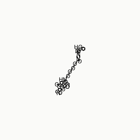 Cc1nnc(-c2ccccc2O)cc1N1CCN(C(=O)CCOCCOCCOCCOCCNC(=O)c2ccc3c(c2)C2(OC3=O)c3cc4c5c(c3Oc3c2cc2c6c3CCCN6CCC2)CCCN5CCC4)CC1